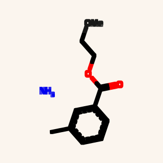 COCCOC(=O)c1cccc(C)c1.N